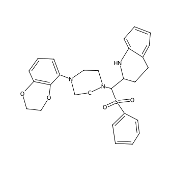 O=S(=O)(c1ccccc1)C(C1CCc2ccccc2N1)N1CCN(c2cccc3c2OCCO3)CC1